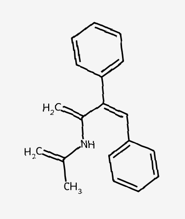 C=C(C)NC(=C)/C(=C\c1ccccc1)c1ccccc1